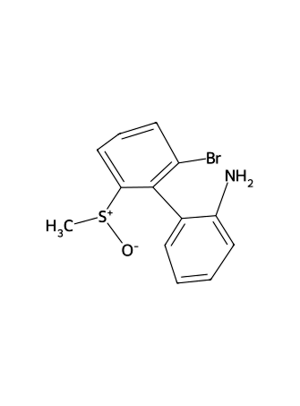 C[S+]([O-])c1cccc(Br)c1-c1ccccc1N